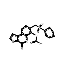 O=C(O)Oc1c(CS(=O)(=O)c2ccccc2)ccc2c1oc(=O)c1occc12